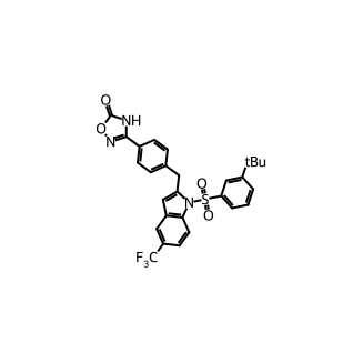 CC(C)(C)c1cccc(S(=O)(=O)n2c(Cc3ccc(-c4noc(=O)[nH]4)cc3)cc3cc(C(F)(F)F)ccc32)c1